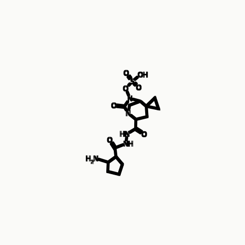 NC1CCCC1C(=O)NNC(=O)C1CC2(CC2)C2CN1C(=O)N2OS(=O)(=O)O